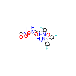 N[C@H](C(=O)Nc1cccc(F)c1CC[C@@H]1CN[C@H](COC(=O)N[C@H]2CCCOC2)CO1)C(c1ccc(F)cc1)c1ccc(F)cc1